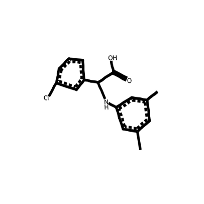 Cc1cc(C)cc(NC(C(=O)O)c2cccc(Cl)c2)c1